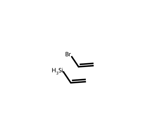 C=CBr.C=C[SiH3]